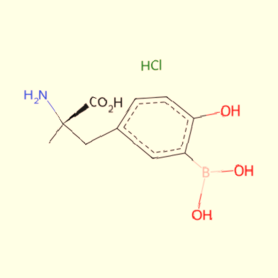 C[C@](N)(Cc1ccc(O)c(B(O)O)c1)C(=O)O.Cl